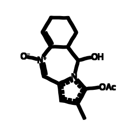 CC(=O)Oc1c(C)cc2n1C(O)C1CCCC=C1[N+]([O-])=C2